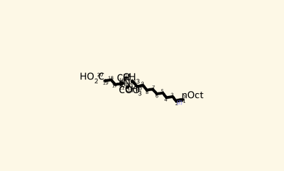 CCCCCCCC/C=C\CCCCCCCCC[N+](C)(C)C(C)(CCCC(=O)O)C(=O)[O-]